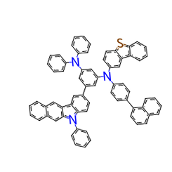 c1ccc(N(c2ccccc2)c2cc(-c3ccc4c(c3)c3cc5ccccc5cc3n4-c3ccccc3)cc(N(c3ccc(-c4cccc5ccccc45)cc3)c3ccc4sc5ccccc5c4c3)c2)cc1